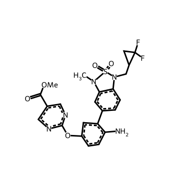 COC(=O)c1cnc(Oc2ccc(N)c(-c3ccc4c(c3)N(C)S(=O)(=O)N4CC3CC3(F)F)c2)nc1